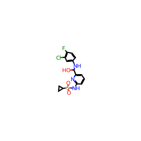 O=S(=O)(Nc1cccc(C(O)Nc2ccc(F)c(Cl)c2)n1)C1CC1